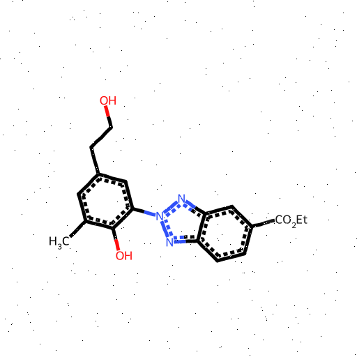 CCOC(=O)c1ccc2nn(-c3cc(CCO)cc(C)c3O)nc2c1